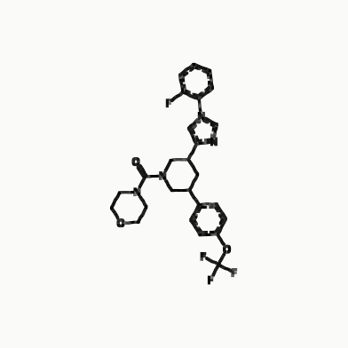 O=C(N1CCOCC1)N1CC(c2ccc(OC(F)(F)F)cc2)CC(c2cn(-c3ccccc3F)cn2)C1